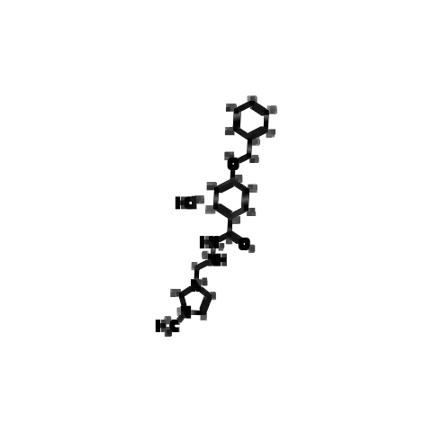 CN1C=CN(CNNC(=O)c2ccc(OCc3ccccc3)cc2)C1.Cl